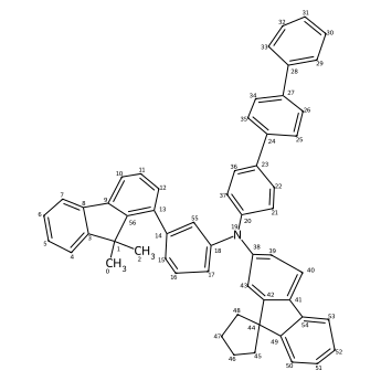 CC1(C)c2ccccc2-c2cccc(-c3cccc(N(c4ccc(-c5ccc(-c6ccccc6)cc5)cc4)c4ccc5c(c4)C4(CCCC4)c4ccccc4-5)c3)c21